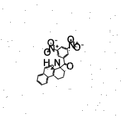 NC1(C(=O)c2cc([N+](=O)[O-])cc([N+](=O)[O-])c2)CCCc2c1ccc1ccccc21